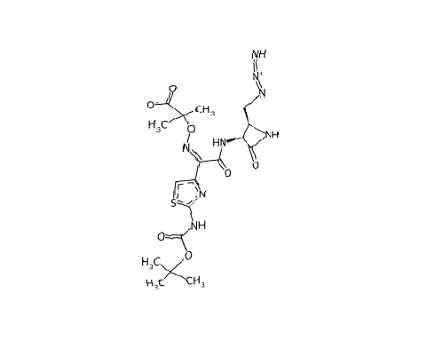 CC(C)(C)OC(=O)Nc1nc(C(=NOC(C)(C)C(=O)[O-])C(=O)N[C@@H]2C(=O)N[C@@H]2CN=[N+]=N)cs1